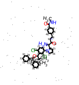 CNC(=O)c1ccc(/C=C/C(=O)C(N)c2cccn2-c2ccc(Cl)c(C(O[SiH](c3ccccc3)c3ccccc3)C(C)(C)C)c2Cl)cc1